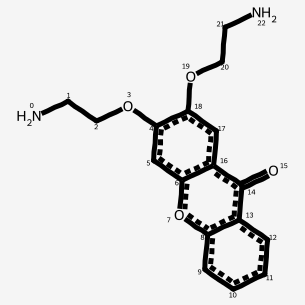 NCCOc1cc2oc3ccccc3c(=O)c2cc1OCCN